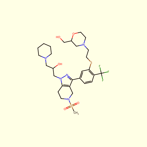 CS(=O)(=O)N1CCc2c(c(-c3ccc(C(F)(F)F)c(SCCN4CCOC(CO)C4)c3)nn2CC(O)CN2CCCCC2)C1